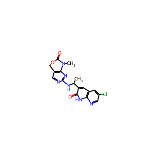 C[C@H](Nc1ncc2c(n1)N(C)C(=O)OC2)c1cc2cc(Cl)cnc2[nH]c1=O